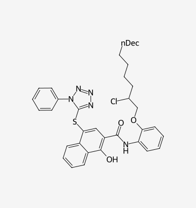 CCCCCCCCCCCCCCC(Cl)COc1ccccc1NC(=O)c1cc(Sc2nnnn2-c2ccccc2)c2ccccc2c1O